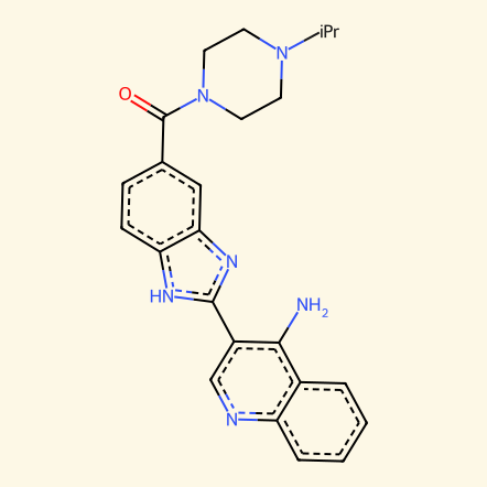 CC(C)N1CCN(C(=O)c2ccc3[nH]c(-c4cnc5ccccc5c4N)nc3c2)CC1